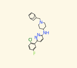 Fc1ccc(Cl)c(-c2ccc(NC3CCN(CC4CC5C=CC4C5)CC3)nn2)c1